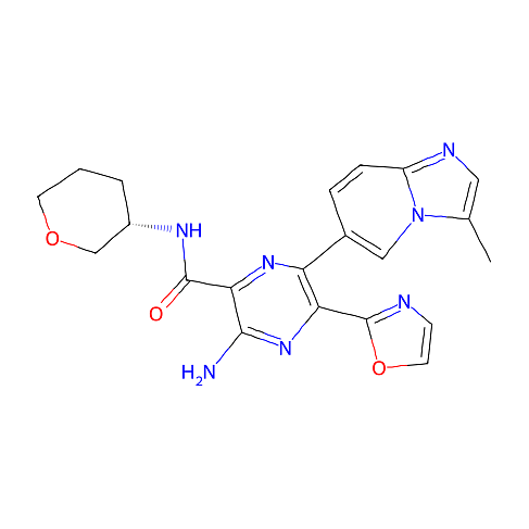 Cc1cnc2ccc(-c3nc(C(=O)N[C@H]4CCCOC4)c(N)nc3-c3ncco3)cn12